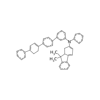 CC1(C)c2ccccc2C2=CC=C(N(c3ccccc3)c3cccc(-c4ccc(C5=CC=C(c6ccccc6)CC5)cc4)c3)CC21